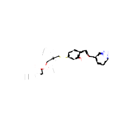 C=CC(=O)OCC(C)(CSc1ccc2cc(-c3cccnc3)oc2c1)C(F)(F)F